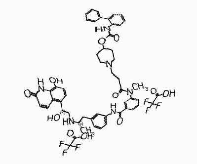 C[C@@H](Cc1cccc(NC(=O)c2cccc(N(C)C(=O)CCN3CCC(OC(=O)Nc4ccccc4-c4ccccc4)CC3)c2)c1)NC[C@H](O)c1ccc(O)c2[nH]c(=O)ccc12.O=C(O)C(F)(F)F.O=C(O)C(F)(F)F